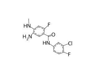 CNc1cc(F)c(C(=O)Nc2ccc(F)c(Cl)c2)cc1N